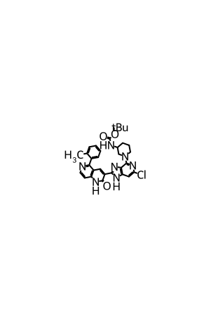 Cc1ccccc1-c1nccc2[nH]c(=O)c(-c3nc4c(N5CCCC(NC(=O)OC(C)(C)C)C5)nc(Cl)cc4[nH]3)cc12